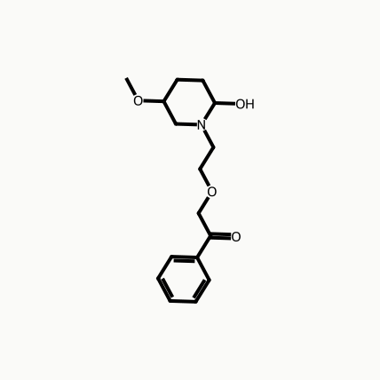 COC1CCC(O)N(CCOCC(=O)c2ccccc2)C1